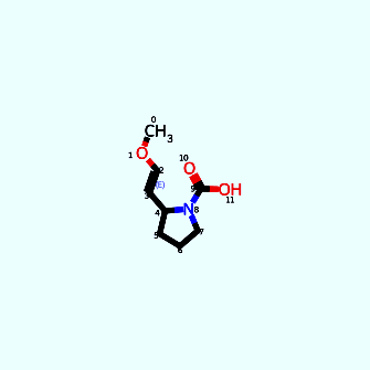 CO/C=C/C1CCCN1C(=O)O